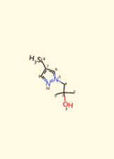 CC(C)(O)Cn1cc([SiH3])cn1